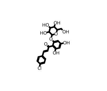 O=C(C=Cc1ccc(Cl)cc1)c1c(O)cc(O)cc1OC1OC(CO)C(O)C(O)C1O